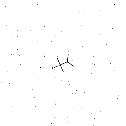 C[C](C)C(C)(C)F